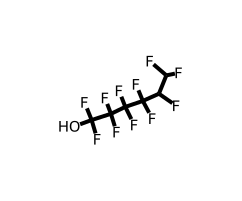 OC(F)(F)C(F)(F)C(F)(F)C(F)(F)C(F)C(F)F